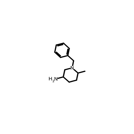 CC1CCC(N)CN1Cc1ccccc1